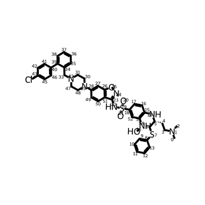 CN(C)CC[C@H](CSc1ccccc1)Nc1ccc(S(=O)(=O)Nc2noc3cc(N4CCN(Cc5ccccc5-c5ccc(Cl)cc5)CC4)ccc23)cc1NO